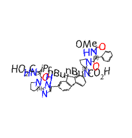 CCCCC1(CCCC)c2cc(-c3cnc([C@@H]4CCCN4C(=O)[C@@H](NC(=O)O)C(C)C)[nH]3)ccc2-c2ccc(N(C(=O)O)[C@H]3CCCN3C(=O)[C@H](NC(=O)OC)c3ccccc3)cc21